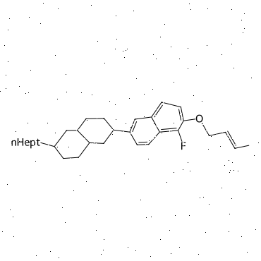 C/C=C/COc1ccc2cc(C3CCC4CC(CCCCCCC)CCC4C3)ccc2c1F